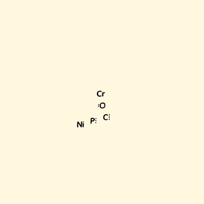 [C].[Cr].[Ni].[O].[P]